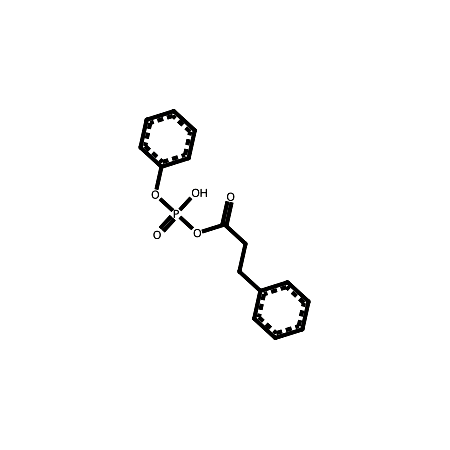 O=C(CCc1ccccc1)OP(=O)(O)Oc1ccccc1